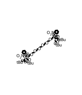 CC(C)(C)OC(=O)C[C@@H](C(=O)OC(C)(C)C)N(CCOCCOCCOCCOCCOCCOCCN([C@@H](CC(=O)OC(C)(C)C)C(=O)OC(C)(C)C)S(=O)(=O)c1ccccc1[N+](=O)[O-])S(=O)(=O)c1ccccc1[N+](=O)[O-]